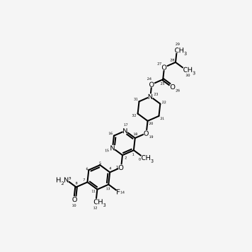 Cc1c(Oc2ccc(C(N)=O)c(C)c2F)ncnc1OC1CCN(OC(=O)OC(C)C)CC1